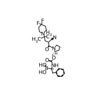 CC(C)(CC(C#N)C(=O)N1CCC[C@@H]1COC(=O)N[C@@H](Cc1ccccc1)B(O)O)N1CCC(F)(F)CC1